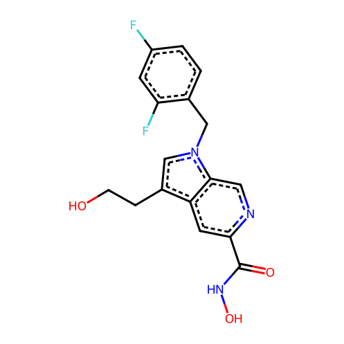 O=C(NO)c1cc2c(CCO)cn(Cc3ccc(F)cc3F)c2cn1